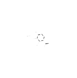 CCOc1c(Cl)ccc(C(C)=O)c1Br